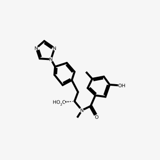 Cc1cc(O)cc(C(=O)N(C)[C@@H](Cc2ccc(-n3cncn3)cc2)C(=O)O)c1